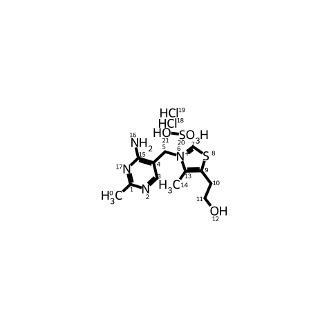 Cc1ncc(C[n+]2csc(CCO)c2C)c(N)n1.Cl.Cl.O=S(=O)(O)O